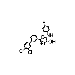 CCC(O)C(Nc1ccc(F)cc1)OC(=O)c1cccc(-c2ccc(Cl)c(Cl)c2)c1